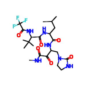 CNC(=O)C(=O)C(CN1CCNC1=O)NC(=O)C(CC(C)C)NC(=O)C(NC(=O)C(F)(F)F)C(C)(C)C